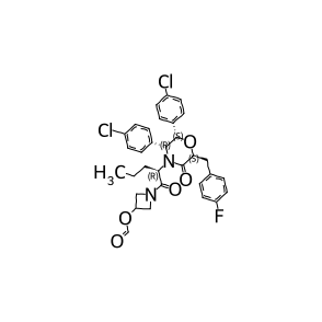 CCC[C@H](C(=O)N1CC(OC=O)C1)N1C(=O)[C@H](Cc2ccc(F)cc2)O[C@@H](c2ccc(Cl)cc2)[C@H]1c1ccc(Cl)cc1